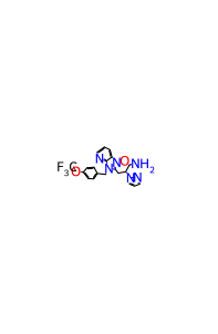 NC(=O)C(Cc1nc2cccnc2n1Cc1ccc(OC(F)(F)F)cc1)n1cccn1